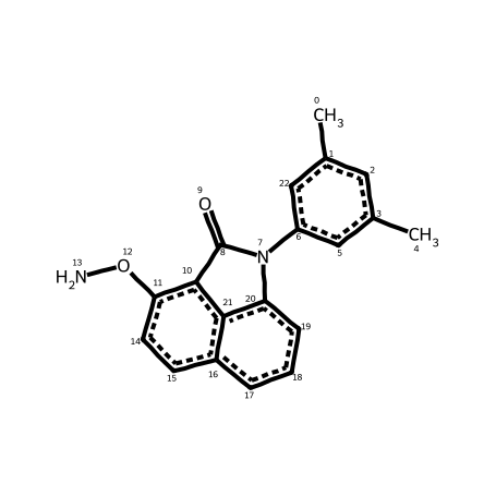 Cc1cc(C)cc(N2C(=O)c3c(ON)ccc4cccc2c34)c1